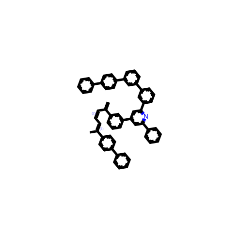 C=C(/C=C\C=C(/C)c1ccc(-c2ccccc2)cc1)c1cccc(-c2cc(-c3ccccc3)nc(-c3cccc(-c4cccc(-c5ccc(-c6ccccc6)cc5)c4)c3)c2)c1